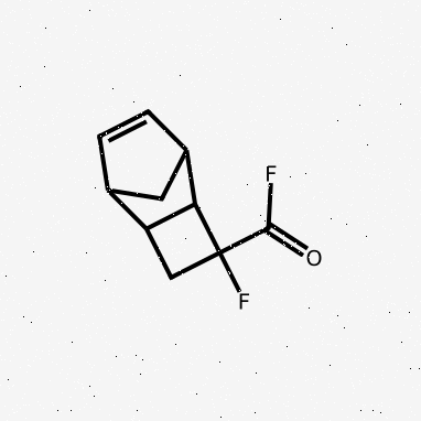 O=C(F)C1(F)CC2C3C=CC(C3)C21